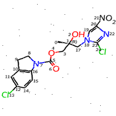 C[C@](O)(COC(=O)N1CCc2cc(Cl)ccc21)Cn1cc([N+](=O)[O-])nc1Cl